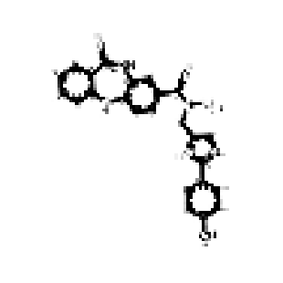 CN(Cc1cnc(-c2ccc(O)cc2)s1)C(=O)c1ccc2c(c1)NC(=O)c1ccccc1S2